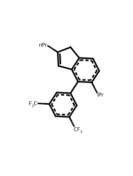 CCCC1=Cc2c(ccc(C(C)C)c2-c2cc(C(F)(F)F)cc(C(F)(F)F)c2)[CH]1